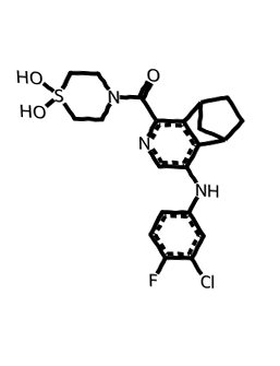 O=C(c1ncc(Nc2ccc(F)c(Cl)c2)c2c1C1CCC2C1)N1CCS(O)(O)CC1